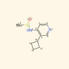 CC(C)(C)[S+]([O-])Nc1ccn[c]c1C1CCC1